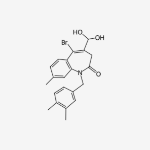 Cc1ccc2c(c1)N(Cc1ccc(C)c(C)c1)C(=O)CC(C(O)O)=C2Br